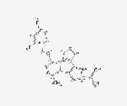 Cc1ccc(OCc2ccc(F)cc2F)c(C2=C(c3cccc(C(=O)O)n3)CCC2)c1